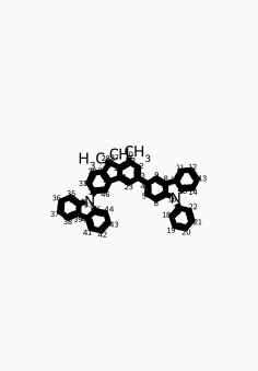 Cc1cc(-c2ccc3c(c2)c2ccccc2n3-c2ccccc2)cc2c1C(C)(C)c1ccc(-n3c4ccccc4c4ccccc43)cc1-2